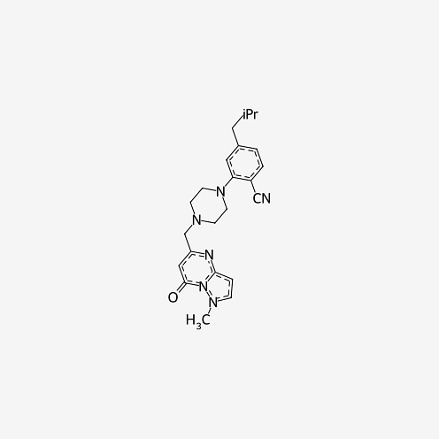 CC(C)Cc1ccc(C#N)c(N2CCN(Cc3cc(=O)n4c(ccn4C)n3)CC2)c1